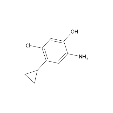 Nc1cc(C2CC2)c(Cl)cc1O